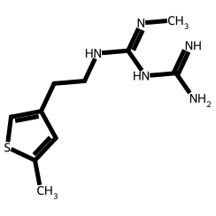 C/N=C(/NCCc1csc(C)c1)NC(=N)N